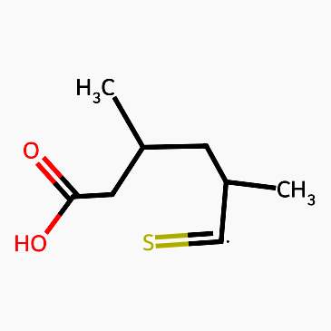 CC([C]=S)CC(C)CC(=O)O